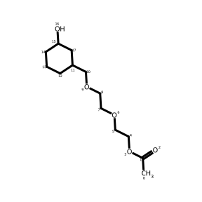 CC(=O)OCCOCCOCC1CCCC(O)C1